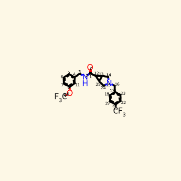 O=C(NCc1cccc(OC(F)(F)F)c1)C1C2CN(Cc3ccc(C(F)(F)F)cc3)CC21